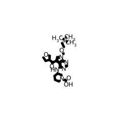 C[Si](C)(C)CCOCn1cc(C(=O)C2CCOC2)c2c(N[C@@H]3CCCN(C(=O)O)C3)ncnc21